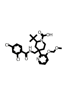 COCOc1cccnc1C1(CNC(=O)c2ccc(Cl)cc2Cl)CCN(C(=O)O)C(C(C)(C)C)C1